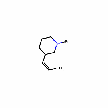 C/C=C\C1CCCN(CC)C1